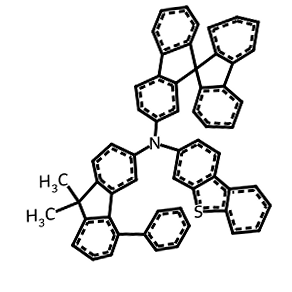 CC1(C)c2ccc(N(c3ccc4c(c3)C3(c5ccccc5-c5ccccc53)c3ccccc3-4)c3ccc4c(c3)sc3ccccc34)cc2-c2c(-c3ccccc3)cccc21